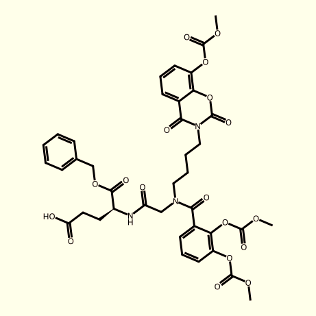 COC(=O)Oc1cccc(C(=O)N(CCCCn2c(=O)oc3c(OC(=O)OC)cccc3c2=O)CC(=O)N[C@@H](CCC(=O)O)C(=O)OCc2ccccc2)c1OC(=O)OC